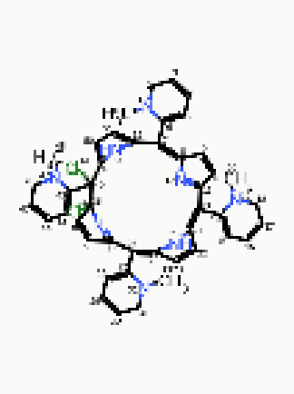 CN1CC=CC=C1C1=C2C=CC(=N2)C(C2=CC=CCN2C)=c2ccc([nH]2)=C(C2=CC=CCN2C)C2=NC(Cl)(C=C2)C(Cl)(C2=CC=CCN2C)c2ccc1[nH]2